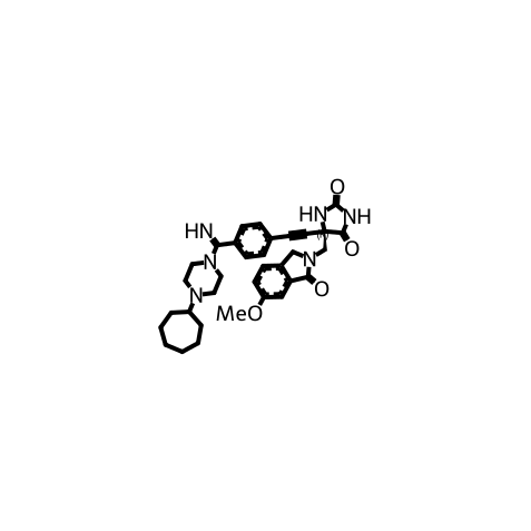 COc1ccc2c(c1)C(=O)N(C[C@@]1(C#Cc3ccc(C(=N)N4CCN(C5CCCCCC5)CC4)cc3)NC(=O)NC1=O)C2